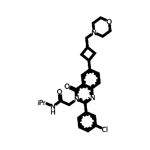 CC(C)NC(=O)Cn1c(-c2cccc(Cl)c2)nc2ccc(C3CC(CN4CCOCC4)C3)cc2c1=O